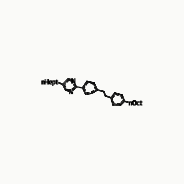 CCCCCCCCc1ccc(CCc2ccc(-c3ncc(CCCCCCC)cn3)cc2)cc1